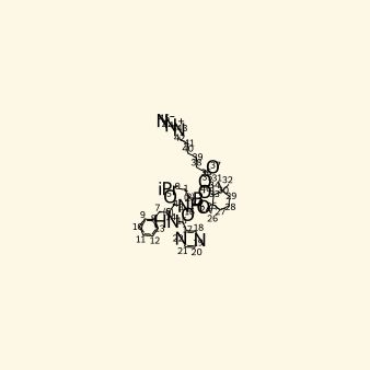 CC(C)C[C@H](NC(=O)[C@H](Cc1ccccc1)NC(=O)c1cnccn1)B1OC2(C)CCCC(C)(C)C2(COC(=O)CCCCCN=[N+]=[N-])O1